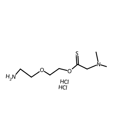 CN(C)CC(=S)OCCOCCN.Cl.Cl